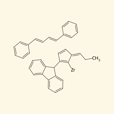 C(C=Cc1ccccc1)=Cc1ccccc1.CCC=C1C=CC(C2c3ccccc3-c3ccccc32)=[C]1[Zr]